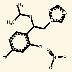 CC(C)OC(Cn1cncn1)c1ccc(Cl)cc1Cl.O=[N+]([O-])O